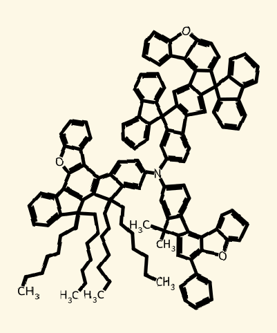 CCCCCCCC1(CCCCCCC)c2ccccc2-c2c1c1c(c3c2oc2ccccc23)-c2ccc(N(c3ccc4c(c3)C(C)(C)c3cc(-c5ccccc5)c5oc6ccccc6c5c3-4)c3ccc4c(c3)C3(c5ccccc5-c5ccccc53)c3cc5c(cc3-4)C3(c4ccccc4-c4ccccc43)c3ccc4oc6ccccc6c4c3-5)cc2C1(CCCCCCC)CCCCCCC